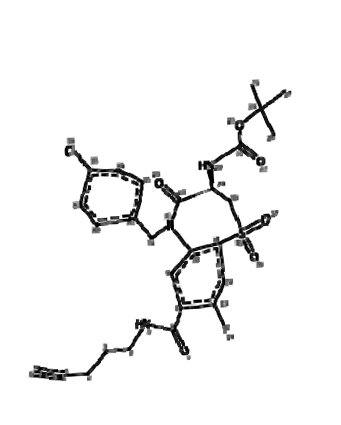 C#CCCCNC(=O)c1cc2c(cc1F)S(=O)(=O)C[C@H](NC(=O)OC(C)(C)C)C(=O)N2Cc1ccc(Cl)cc1